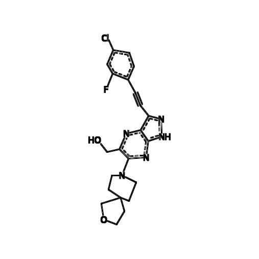 OCc1nc2c(C#Cc3ccc(Cl)cc3F)n[nH]c2nc1N1CCC2(CCOC2)CC1